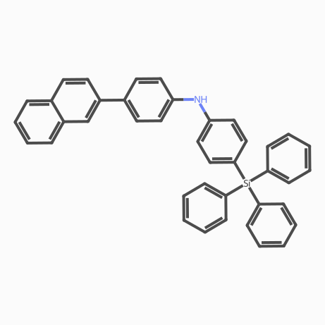 c1ccc([Si](c2ccccc2)(c2ccccc2)c2ccc(Nc3ccc(-c4ccc5ccccc5c4)cc3)cc2)cc1